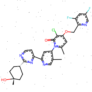 Cc1cnc(-c2ccnc([C@H]3CC[C@@](C)(O)CC3)n2)cc1-n1c(C)cc(OCc2ncc(F)cc2F)c(Cl)c1=O